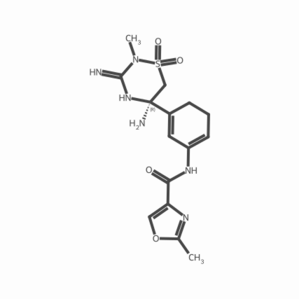 Cc1nc(C(=O)NC2=CCCC([C@]3(N)CS(=O)(=O)N(C)C(=N)N3)=C2)co1